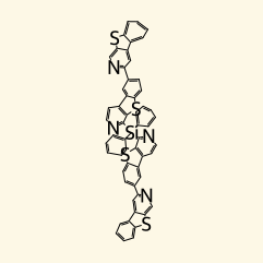 c1ccc([Si](c2ccccc2)(c2nccc3c2sc2ccc(-c4cc5c(cn4)sc4ccccc45)cc23)c2nccc3c2sc2ccc(-c4cc5c(cn4)sc4ccccc45)cc23)cc1